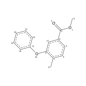 COC(=O)c1ccc(C)c(Oc2ccccc2)c1